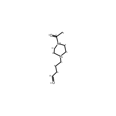 CC(=O)N1CCN(CCC[C]=O)CC1